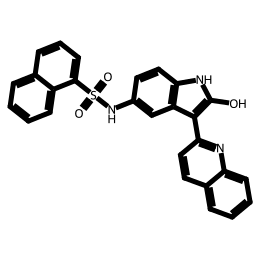 O=S(=O)(Nc1ccc2[nH]c(O)c(-c3ccc4ccccc4n3)c2c1)c1cccc2ccccc12